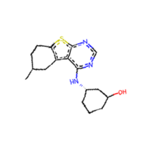 CC1CCc2sc3ncnc(N[C@H]4CCCC(O)C4)c3c2C1